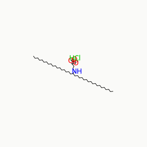 CCCCCCCCCCCCCCCCCCC(CCCCCCCCCCCCCCCCCC)NCCC[Si](OC)(OC)OC.Cl